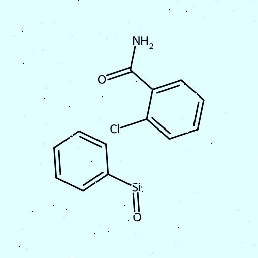 NC(=O)c1ccccc1Cl.O=[Si]c1ccccc1